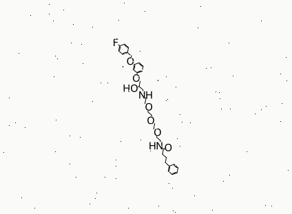 O=C(CCCc1ccccc1)NCCOCCOCCOCCNC[C@@H](O)COc1cccc(OCc2ccc(F)cc2)c1